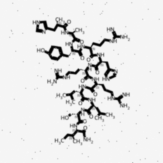 CC[C@H](C)[C@H](NC(=O)[C@H](CO)NC(=O)[C@H](CC(C)C)NC(=O)[C@H](CC(C)C)NC(=O)[C@H](CCCNC(=N)N)NC(=O)[C@H](CCCNC(=N)N)NC(=O)[C@H](Cc1c[nH]cn1)NC(=O)[C@H](CCCNC(=N)N)NC(=O)[C@H](Cc1ccc(O)cc1)NC(=O)[C@H](C)NC(=O)[C@@H](C)Cc1c[nH]cn1)C(N)=O